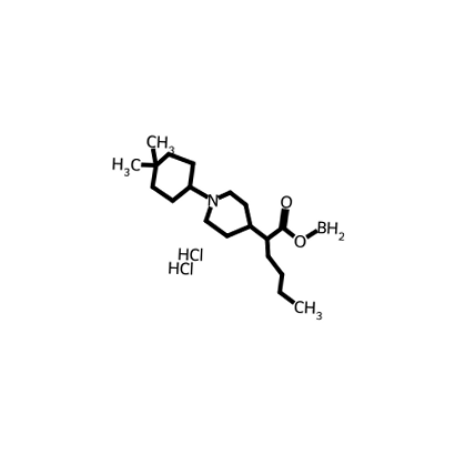 BOC(=O)C(CCCC)C1CCN(C2CCC(C)(C)CC2)CC1.Cl.Cl